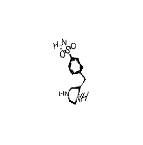 NS(=O)(=O)c1ccc(C[C@@H]2CNCCN2)cc1